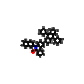 O=c1c2ccccc2c2cc(-c3ccc4c(-c5ccccc5)c5ccccc5c(-c5ccccc5)c4c3)ccc2n1-c1ccc2ccccc2c1